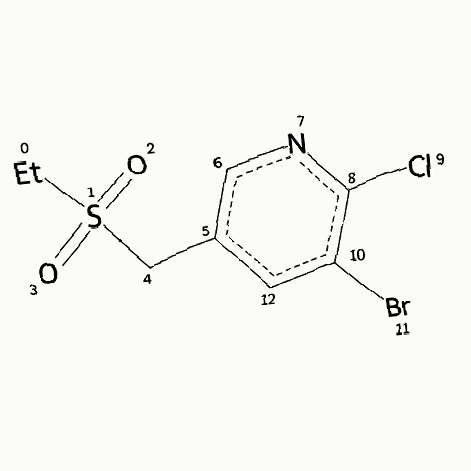 CCS(=O)(=O)Cc1cnc(Cl)c(Br)c1